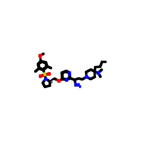 CCCCC1(N(C)C)CCN(CCC(N)c2nccc(OC[C@@H]3CCCN3S(=O)(=O)c3c(C)cc(OC)cc3C)n2)CC1